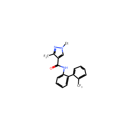 CCn1cc(C(=O)Nc2ccccc2-c2ccccc2C(F)(F)F)c(C(F)(F)F)n1